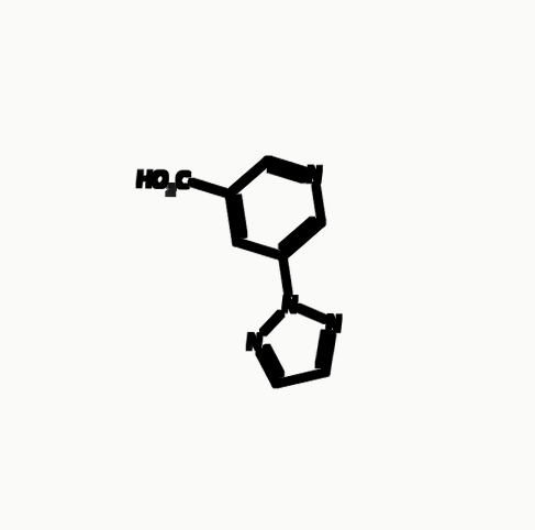 O=C(O)c1cncc(-n2nccn2)c1